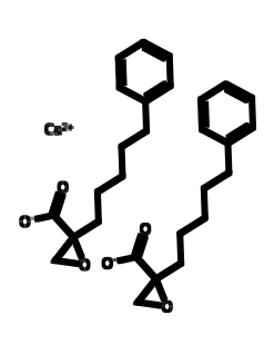 O=C([O-])C1(CCCCCc2ccccc2)CO1.O=C([O-])C1(CCCCCc2ccccc2)CO1.[Ca+2]